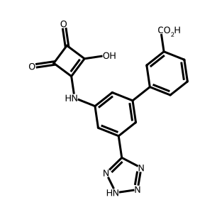 O=C(O)c1cccc(-c2cc(Nc3c(O)c(=O)c3=O)cc(-c3nn[nH]n3)c2)c1